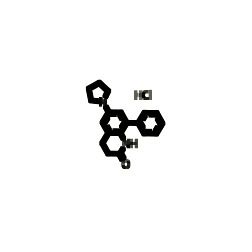 Cl.O=C1CCc2cc(N3CCCC3)cc(-c3ccccc3)c2N1